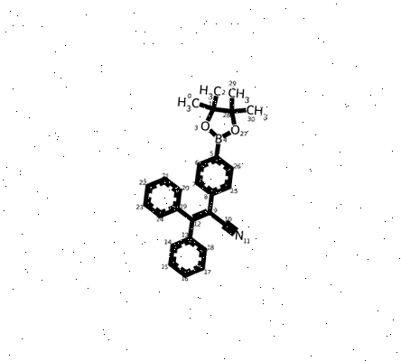 CC1(C)OB(c2ccc(C(C#N)=C(c3ccccc3)c3ccccc3)cc2)OC1(C)C